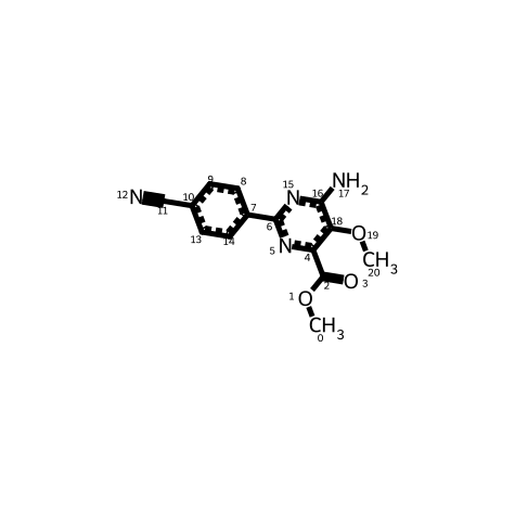 COC(=O)c1nc(-c2ccc(C#N)cc2)nc(N)c1OC